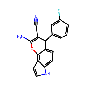 N#CC1=C(N)Oc2c(ccc3[nH]ccc23)C1c1cccc(F)c1